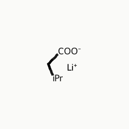 CC(C)CC(=O)[O-].[Li+]